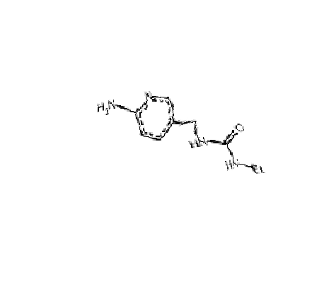 CCNC(=O)NCc1ccc(N)nc1